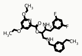 CCOc1cc(OCC)nc(C(=O)OC(CNCc2cccc(CC)c2)C(N)Cc2cc(F)cc(F)c2)c1